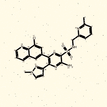 Cc1cccc(CNS(=O)(=O)c2nc(-c3cc(Cl)c4ncccc4c3)c(-c3ccn(C)n3)nc2N)n1